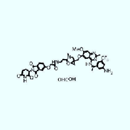 COc1cc2nc(C)nc(N[C@H](C)c3cc(N)cc(C(F)(F)F)c3)c2cc1OCC1(CN(C)C(=O)CCNC(=O)COc2ccc3c(c2)C(=O)N(C2CCC(=O)NC2=O)C3=O)CC1.O=CO